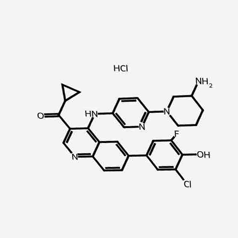 Cl.NC1CCCN(c2ccc(Nc3c(C(=O)C4CC4)cnc4ccc(-c5cc(F)c(O)c(Cl)c5)cc34)cn2)C1